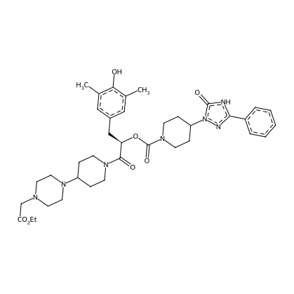 CCOC(=O)CN1CCN(C2CCN(C(=O)[C@@H](Cc3cc(C)c(O)c(C)c3)OC(=O)N3CCC(n4nc(-c5ccccc5)[nH]c4=O)CC3)CC2)CC1